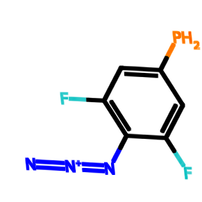 [N-]=[N+]=Nc1c(F)cc(P)cc1F